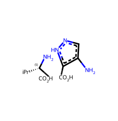 CC(C)[C@H](N)C(=O)O.Nc1cn[nH]c1C(=O)O